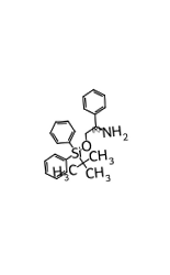 CC(C)(C)[Si](OC[C@H](N)c1ccccc1)(c1ccccc1)c1ccccc1